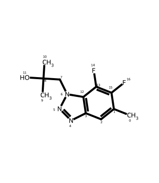 Cc1cc2nnn(CC(C)(C)O)c2c(F)c1F